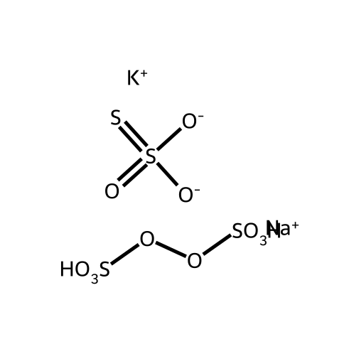 O=S(=O)(O)OOS(=O)(=O)O.O=S([O-])([O-])=S.[K+].[Na+]